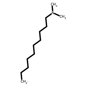 [CH2]CCCCCCCCCN(C)C